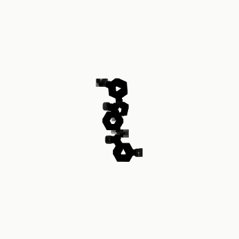 N#Cc1cccc(N2CC[C@]3(CCC[C@H](NC(=O)c4cccc(Cl)c4)C3)C2=O)c1